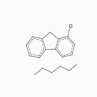 CCCCCC.Clc1cccc2c1Cc1ccccc1-2